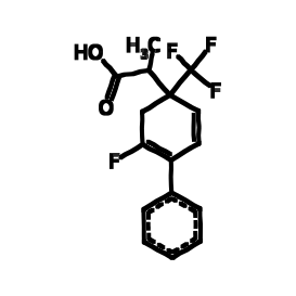 CC(C(=O)O)C1(C(F)(F)F)C=CC(c2ccccc2)=C(F)C1